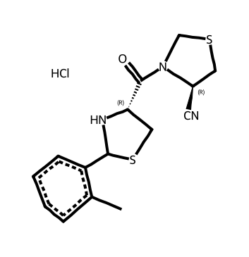 Cc1ccccc1C1N[C@H](C(=O)N2CSC[C@H]2C#N)CS1.Cl